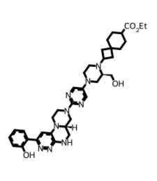 CCOC(=O)C1CCC2(CC1)CC(N1CCN(c3cnc(N4CCN5c6cc(-c7ccccc7O)nnc6NC[C@H]5C4)nc3)C[C@@H]1CO)C2